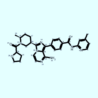 Cc1ccnc(NC(=O)c2ccc(-c3nc([C@@H]4CC[C@H](C)N(C(=O)C5CCCO5)C4)n4ccnc(N)c34)cc2)c1